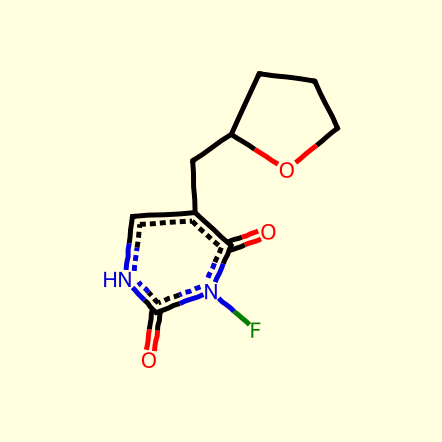 O=c1[nH]cc(CC2CCCO2)c(=O)n1F